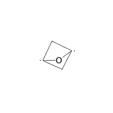 C1[C]2C[C]1O2